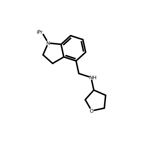 CC(C)N1CCc2c(CNC3CCOC3)cccc21